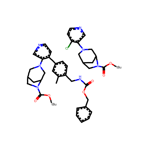 CC(C)(C)OC(=O)N1CC2CC1CN(c1cnccc1Cl)C2.Cc1cc(-c2ccncc2N2CC3CC(C2)N(C(=O)OC(C)(C)C)C3)ccc1CNC(=O)OCc1ccccc1